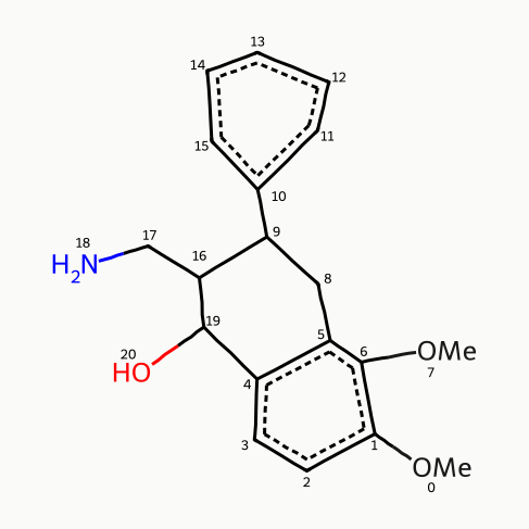 COc1ccc2c(c1OC)CC(c1ccccc1)C(CN)C2O